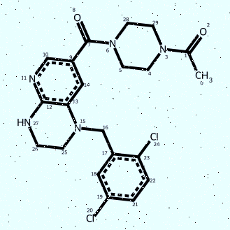 CC(=O)N1CCN(C(=O)c2cnc3c(c2)N(Cc2cc(Cl)ccc2Cl)CCN3)CC1